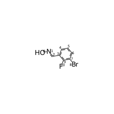 O/N=C/c1cccc(Br)c1F